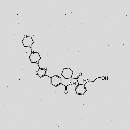 O=C(NC1(C(=O)c2ccccc2NCCO)CCCCC1)c1ccc(-c2csc(N3CCN(N4CCOCC4)CC3)n2)cc1